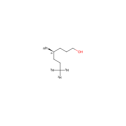 [2H]C([2H])([2H])CC[C@@H](CCC)CCCO